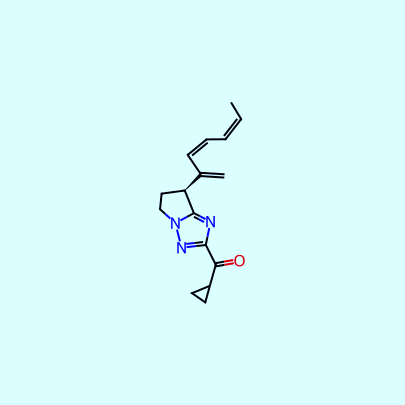 C=C(/C=C\C=C/C)[C@@H]1CCn2nc(C(=O)C3CC3)nc21